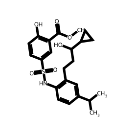 COC(=O)c1cc(S(=O)(=O)Nc2ccc(C(C)C)cc2CCC(O)C2CC2)ccc1O